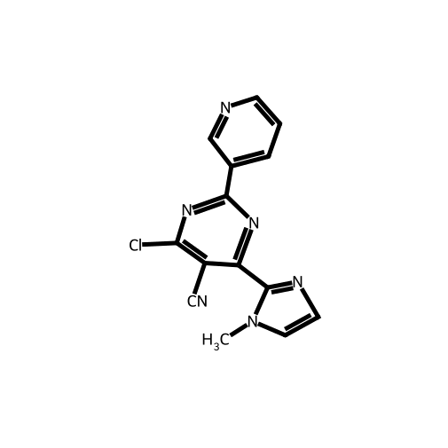 Cn1ccnc1-c1nc(-c2cccnc2)nc(Cl)c1C#N